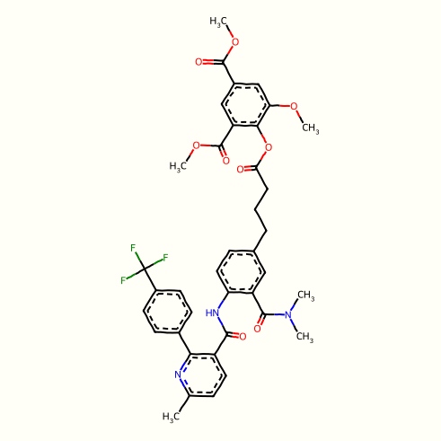 COC(=O)c1cc(OC)c(OC(=O)CCCc2ccc(NC(=O)c3ccc(C)nc3-c3ccc(C(F)(F)F)cc3)c(C(=O)N(C)C)c2)c(C(=O)OC)c1